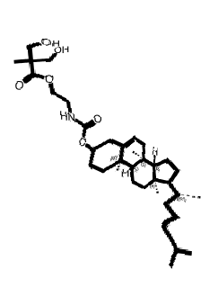 CC(C)CCC[C@@H](C)C1CC[C@H]2[C@]3(C)CC=C4CC(OC(=O)NCCOC(=O)C(C)(CO)CO)CC[C@]4(C)[C@H]3CC[C@]12C